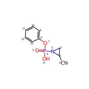 N#CC1CN1P(=O)(O)Oc1ccccc1